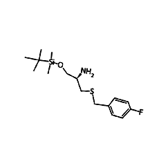 CC(C)(C)[Si](C)(C)OC[C@@H](N)CSCc1ccc(F)cc1